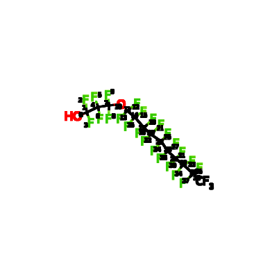 OC(F)(F)C(F)(F)C(F)(F)OC(F)(F)C(F)(F)C(F)(F)C(F)(F)C(F)(F)C(F)(F)C(F)(F)C(F)(F)C(F)(F)C(F)(F)F